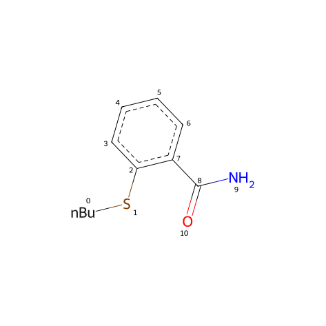 CCCCSc1ccccc1C(N)=O